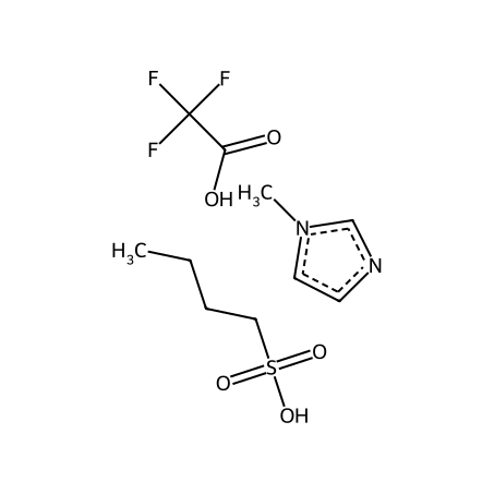 CCCCS(=O)(=O)O.Cn1ccnc1.O=C(O)C(F)(F)F